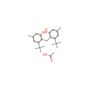 CC(=O)O.Cc1cc(O)c(Cc2c(O)cc(C)cc2C(C)(C)C)c(C(C)(C)C)c1